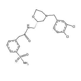 NS(=O)(=O)c1cccc(CC(=O)NC[C@H]2CN(Cc3ccc(Cl)c(Cl)c3)CCO2)c1